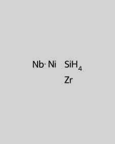 [Nb].[Ni].[SiH4].[Zr]